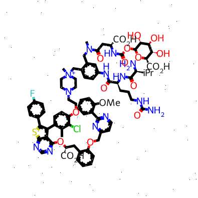 COc1ccccc1-c1nccc(COc2ccccc2C[C@@H](Oc2ncnc3sc(-c4ccc(F)cc4)c(-c4ccc(OCCN5CC[N+](C)(Cc6ccc(NC(=O)[C@H](CCCNC(N)=O)NC(=O)[C@@H](N)C(C)C)cc6CN(C)C(=O)C[C@H](NC(=O)OC6O[C@H](C(=O)O)[C@@H](O)[C@H](O)[C@H]6O)C(=O)O)CC5)c(Cl)c4C)c23)C(=O)O)n1